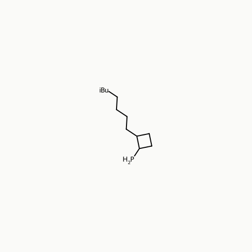 CCC(C)CCCCC1CCC1P